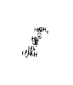 CNCCCOc1cccc(-c2cc3cn(-c4ccc(CNCCCNC(=N)N)cc4)c(=O)nc3[nH]2)c1